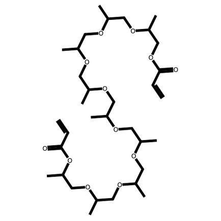 C=CC(=O)OCC(C)OCC(C)OCC(C)OCC(C)OCC(C)OCC(C)OCC(C)OCC(C)OCC(C)OC(=O)C=C